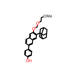 COCCOCOc1cc2ccc(-c3ccc(O)cc3)cc2cc1C12CC3CC(CC(C3)C1)C2